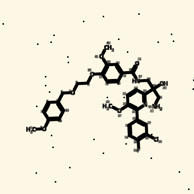 COc1ccc(COCCOc2ccc(C(=O)NCC(O)(CN)c3ccc(OC)c(-c4ccc(F)c(Cl)c4)n3)cc2OC)cc1